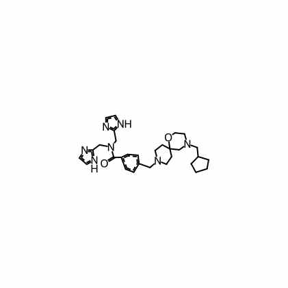 O=C(c1ccc(CN2CCC3(CC2)CN(CC2CCCC2)CCO3)cc1)N(Cc1ncc[nH]1)Cc1ncc[nH]1